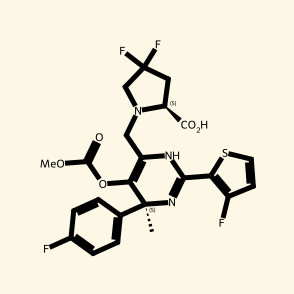 COC(=O)OC1=C(CN2CC(F)(F)C[C@H]2C(=O)O)NC(c2sccc2F)=N[C@@]1(C)c1ccc(F)cc1